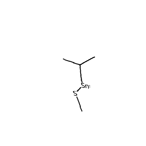 C[S][Sn][CH](C)C